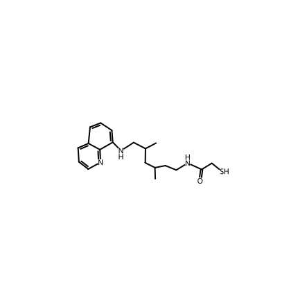 CC(CCNC(=O)CS)CC(C)CNc1cccc2cccnc12